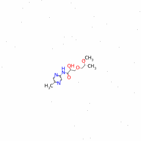 CO[C@H](C)COC[C@H](O)C(=O)Nc1cnc(C)cn1